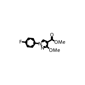 COC(=O)c1cn(-c2ccc(F)cc2)nc1OC